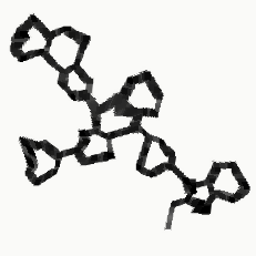 CCc1nc2ccccc2n1-c1ccc(-c2c3ccccc3c(-c3ccc4c(ccc5ccccc54)c3)c3cc(-c4ccccc4)ccc23)cc1